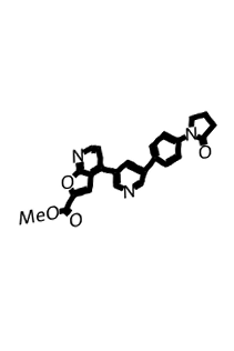 COC(=O)c1cc2c(-c3cncc(-c4ccc(N5CCCC5=O)cc4)c3)ccnc2o1